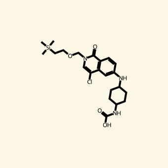 C[Si](C)(C)CCOCn1cc(Cl)c2cc(NC3CCC(NC(=O)O)CC3)ccc2c1=O